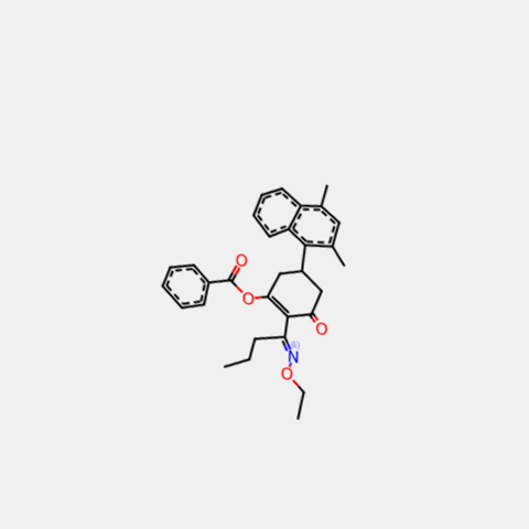 CCC/C(=N\OCC)C1=C(OC(=O)c2ccccc2)CC(c2c(C)cc(C)c3ccccc23)CC1=O